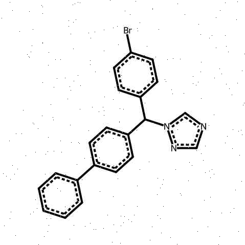 Brc1ccc(C(c2ccc(-c3ccccc3)cc2)n2cncn2)cc1